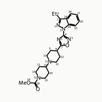 CCc1nn(-c2noc(C3CCN(C4CCN(C(=O)OC)CC4)CC3)n2)c2ccccc12